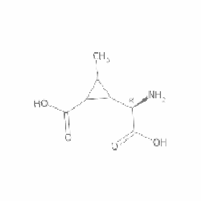 CC1C(C(=O)O)C1[C@@H](N)C(=O)O